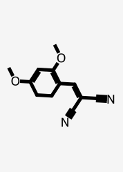 COC1=CC(OC)=C(C=C(C#N)C#N)CC1